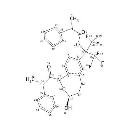 C[C@H](C(=O)OC(c1ccc2c(c1)CC[C@@H](O)CN2C(=O)[C@@H](C)c1ccccc1)(C(F)(F)F)C(F)(F)F)c1ccccc1